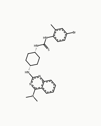 Cc1cc(Br)ccc1NC(=S)N[C@H]1CC[C@@H](Nc2nc(N(C)C)c3ccccc3n2)CC1